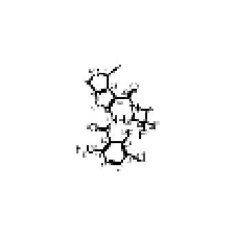 CC1OCc2sc(NC(=O)c3c(C(F)(F)F)ccc(Cl)c3F)c(C(=O)N3CC(F)(F)C3)c21